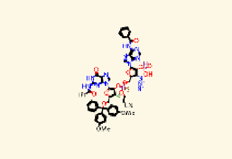 COc1ccc(C(OC[C@H]2O[C@@H](n3cnc4c(=O)[nH]c(NC(=O)C(C)C)nc43)[C@H](OP(=S)(OCCC#N)OC[C@H]3O[C@@H](n4cnc5c(NC(=O)c6ccccc6)ncnc54)[C@H](O[PH](=O)O)[C@@H]3N=[N+]=[N-])[C@@H]2F)(c2ccccc2)c2ccc(OC)cc2)cc1